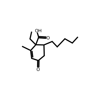 CCCCCC1CC(=O)C=C(C)C1(CC)C(=O)O